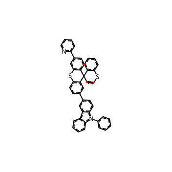 c1ccc(-n2c3ccccc3c3cc(-c4ccc5c(c4)C4(c6ccccc6Sc6ccccc64)c4ccc(-c6ccccn6)cc4S5)ccc32)cc1